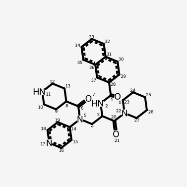 O=C(NC(CN(C(=O)C1CCNCC1)c1ccncc1)C(=O)N1CCCCC1)c1ccc2ccccc2c1